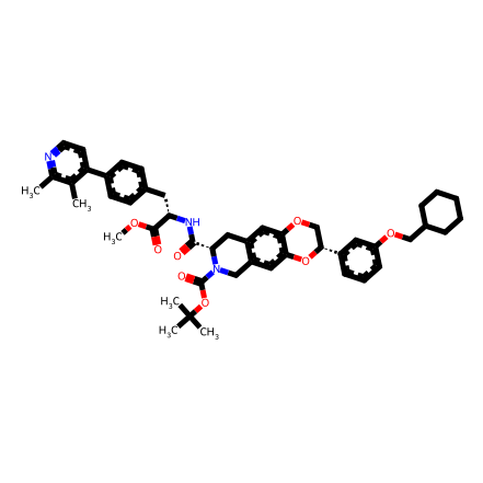 COC(=O)[C@H](Cc1ccc(-c2ccnc(C)c2C)cc1)NC(=O)[C@@H]1Cc2cc3c(cc2CN1C(=O)OC(C)(C)C)O[C@@H](c1cccc(OCC2CCCCC2)c1)CO3